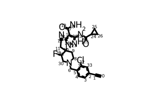 C#Cc1ccc(CN2CCC(CC#N)(n3cc(C(N)=O)c(NC(=O)C4CC4)n3)C(F)C2)c(Cl)c1